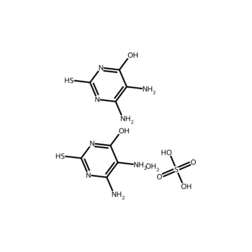 Nc1nc(S)nc(O)c1N.Nc1nc(S)nc(O)c1N.O.O=S(=O)(O)O